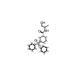 CC(CO)NC(=O)[C@@H]1CC[C@H](c2ccccc2)N(S(=O)(=O)c2ccccc2)C1